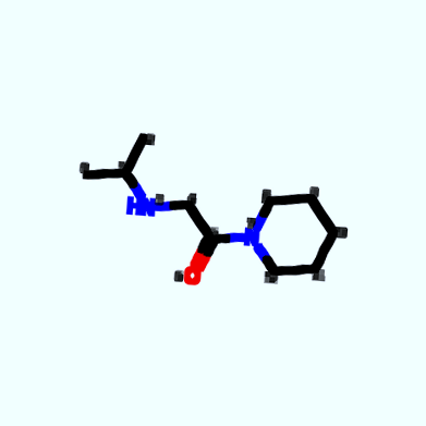 CC(C)NCC(=O)N1[CH]CCCC1